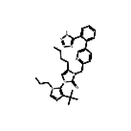 CCCCc1cn(-c2c(C(C)(C)C)ccn2CCC)c(=O)n1Cc1ccc(-c2ccccc2-c2nnn[nH]2)cn1